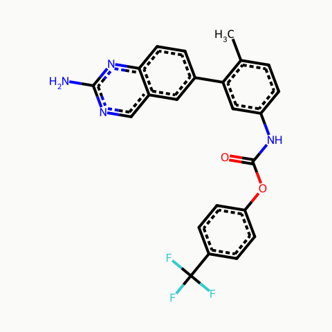 Cc1ccc(NC(=O)Oc2ccc(C(F)(F)F)cc2)cc1-c1ccc2nc(N)ncc2c1